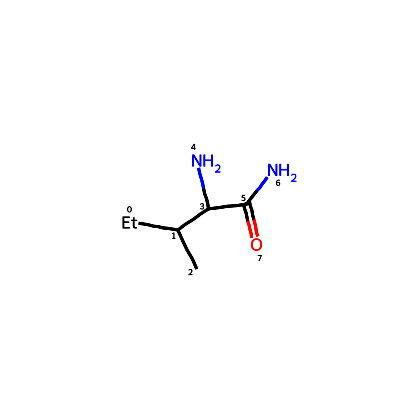 CCC(C)C(N)C(N)=O